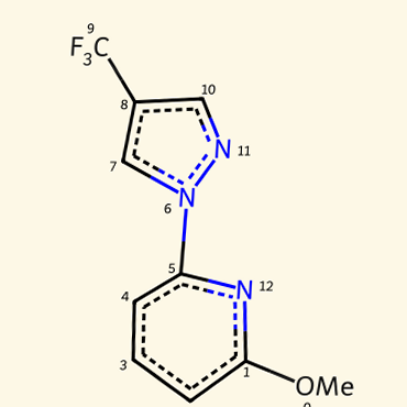 COc1cccc(-n2cc(C(F)(F)F)cn2)n1